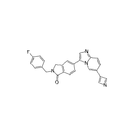 O=C1c2ccc(-c3cnc4ccc(C5=CN=C5)cn34)cc2CN1Cc1ccc(F)cc1